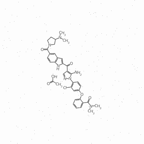 CC(=O)O.CN(C)C(=O)c1ccccc1Oc1ccc(-n2ncc(C(=O)c3cc4cc(C(=O)N5CCC(N(C)C)C5)ccc4[nH]3)c2N)c(Cl)c1